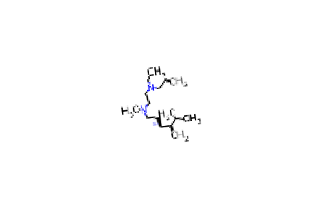 C=CCN(CC)CCN(C)C/C=C/C(=C)C(C)C